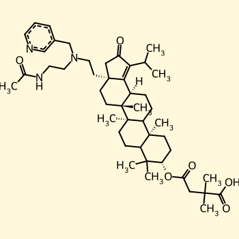 CC(=O)NCCN(CC[C@@]12CC[C@]3(C)[C@H](CCC4[C@@]5(C)CC[C@H](OC(=O)CC(C)(C)C(=O)O)C(C)(C)C5CC[C@]43C)C1=C(C(C)C)C(=O)C2)Cc1cccnc1